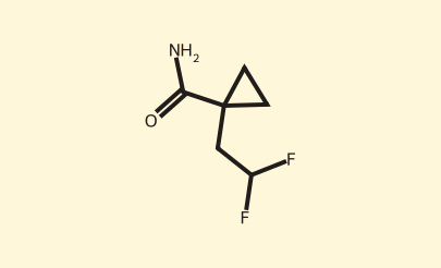 NC(=O)C1(CC(F)F)CC1